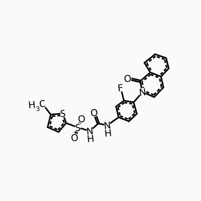 Cc1ccc(S(=O)(=O)NC(=O)Nc2ccc(-n3ccc4ccccc4c3=O)c(F)c2)s1